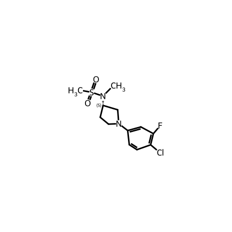 CN([C@H]1CCN(c2ccc(Cl)c(F)c2)C1)S(C)(=O)=O